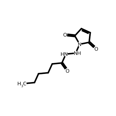 CCCCCC(=O)NNN1C(=O)C=CC1=O